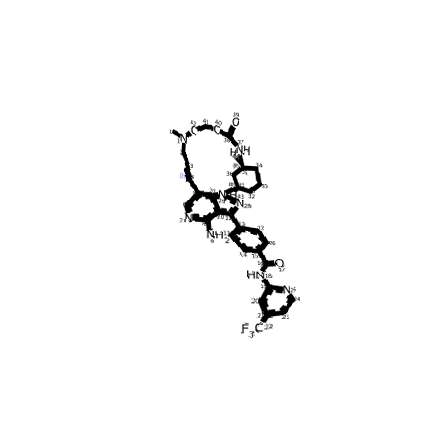 CN1C/C=C/c2cnc(N)c3c(-c4ccc(C(=O)Nc5cc(C(F)(F)F)ccn5)cc4)nn(c23)[C@@H]2CCC[C@H](C2)NC(=O)CCC1